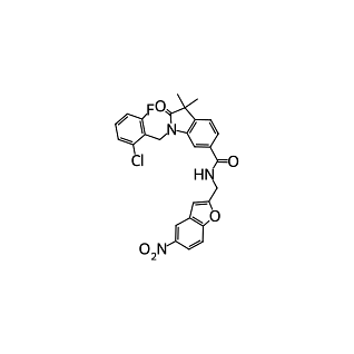 CC1(C)C(=O)N(Cc2c(F)cccc2Cl)c2cc(C(=O)NCc3cc4cc([N+](=O)[O-])ccc4o3)ccc21